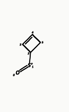 O=[S+]C1C=CC1